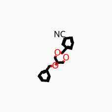 N#Cc1cccc(C2OCC(OCc3ccccc3)CO2)c1